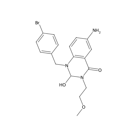 COCCN1C(=O)c2cc(N)ccc2N(Cc2ccc(Br)cc2)C1O